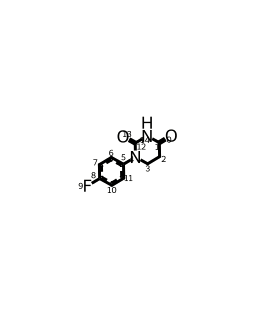 O=C1CCN(c2ccc(F)cc2)C(=O)N1